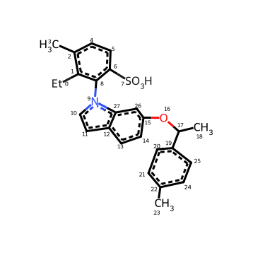 CCc1c(C)ccc(S(=O)(=O)O)c1-n1ccc2ccc(OC(C)c3ccc(C)cc3)cc21